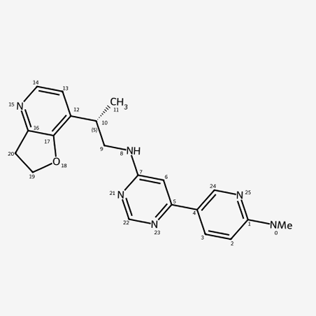 CNc1ccc(-c2cc(NC[C@@H](C)c3ccnc4c3OCC4)ncn2)cn1